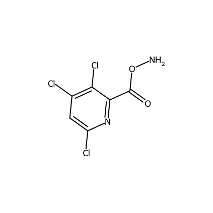 NOC(=O)c1nc(Cl)cc(Cl)c1Cl